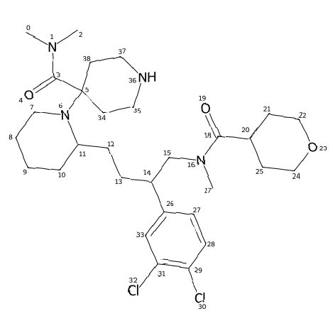 CN(C)C(=O)C1(N2CCCCC2CCC(CN(C)C(=O)C2CCOCC2)c2ccc(Cl)c(Cl)c2)CCNCC1